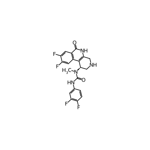 CN(C(=O)Nc1ccc(F)c(F)c1)[C@@H]1CNCc2[nH]c(=O)c3cc(F)c(F)cc3c21